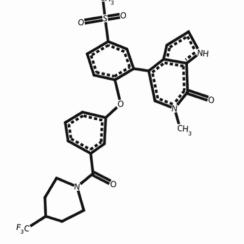 Cn1cc(-c2cc(S(C)(=O)=O)ccc2Oc2cccc(C(=O)N3CCC(C(F)(F)F)CC3)c2)c2cc[nH]c2c1=O